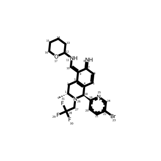 C[C@@H]1CC2=C(C=CC(=N)/C2=C\NC2CCCCO2)[C@@H](c2ccc(Br)cn2)N1CC(F)(F)F